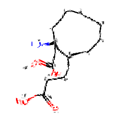 NC1(C(=O)O)CCCCCCC1CCC(=O)O